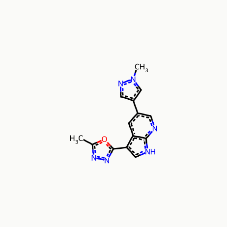 Cc1nnc(-c2c[nH]c3ncc(-c4cnn(C)c4)cc23)o1